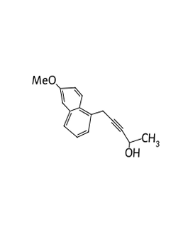 COc1ccc2c(CC#CC(C)O)cccc2c1